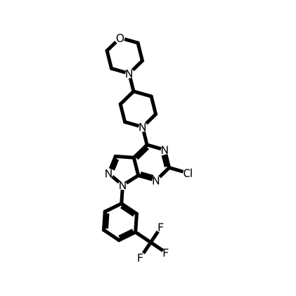 FC(F)(F)c1cccc(-n2ncc3c(N4CCC(N5CCOCC5)CC4)nc(Cl)nc32)c1